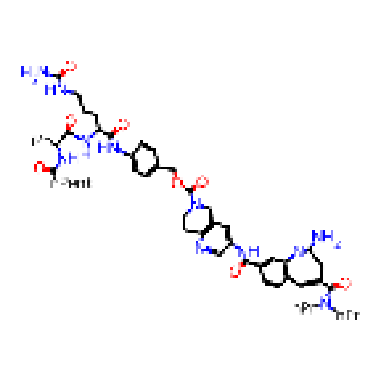 CCCCCC(=O)NC(C(=O)NC(CCCNC(N)=O)C(=O)Nc1ccc(COC(=O)N2CCc3ncc(NC(=O)c4ccc5c(c4)N=C(N)CC(C(=O)N(CCC)CCC)=C5)cc3C2)cc1)C(C)C